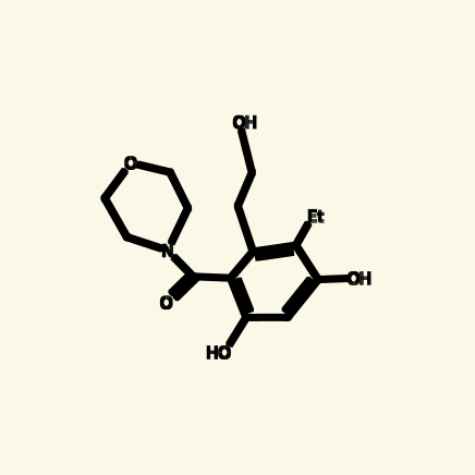 CCc1c(O)cc(O)c(C(=O)N2CCOCC2)c1CCO